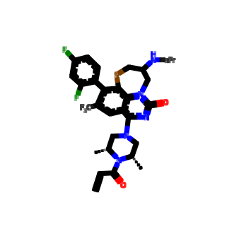 C=CC(=O)N1[C@H](C)CN(c2nc(=O)n3c4c(c(-c5ccc(F)cc5F)c(C(F)(F)F)cc24)SCC(NCCC)C3)C[C@@H]1C